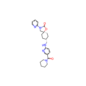 O=C(c1ccc(NC[C@H]2CC[C@]3(CC2)CN(c2ccccn2)C(=O)O3)nc1)N1CCCCC1